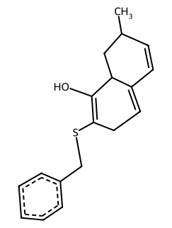 CC1C=CC2=CCC(SCc3ccccc3)=C(O)C2C1